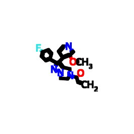 C=CC(=O)N1CCn2nc(-c3ccc(F)cc3)c(-c3ccncc3OC)c2C1